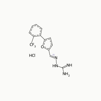 Cl.N=C(N)N/N=C/c1ccc(-c2ccccc2C(F)(F)F)o1